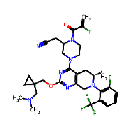 C=C(F)C(=O)N1CCN(c2nc(OCC3(CN(C)C)CC3)nc3c2C[C@@H](C)N(c2c(F)cccc2C(F)(F)F)C3)CC1CC#N